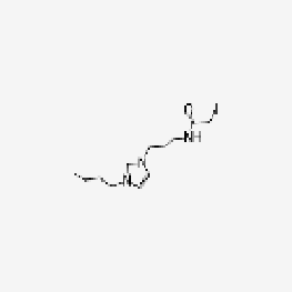 CCCCN1C=CN(CCCNC(=O)CI)C1